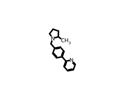 CC1CCCN1Cc1ccc(-c2ccccn2)cc1